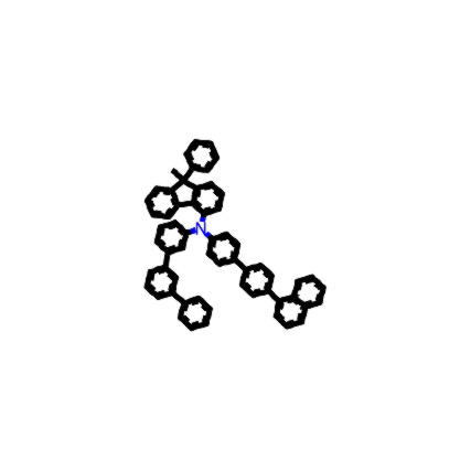 CC1(c2ccccc2)c2ccccc2-c2c(N(c3ccc(-c4ccc(-c5cccc6ccccc56)cc4)cc3)c3cccc(-c4cccc(-c5ccccc5)c4)c3)cccc21